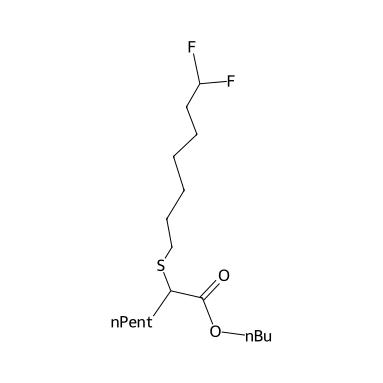 CCCCCC(SCCCCCCC(F)F)C(=O)OCCCC